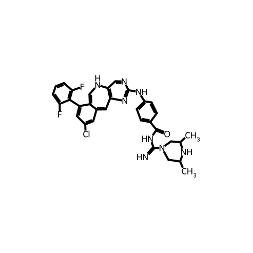 CC1CN(C(=N)NC(=O)c2ccc(Nc3ncc4c(n3)C=c3cc(Cl)cc(-c5c(F)cccc5F)c3=CN4)cc2)CC(C)N1